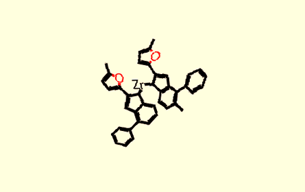 Cc1ccc(C2=Cc3c(-c4ccccc4)cccc3[CH]2[Zr][CH]2C(c3ccc(C)o3)=Cc3c2ccc(C)c3-c2ccccc2)o1